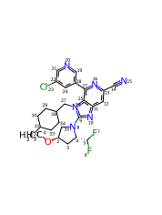 CO[C@@H]1C[C@@H](C(F)F)N(c2nc3cc(C#N)nc(-c4cncc(Cl)c4)c3n2CC2CCC(C)CC2)C1